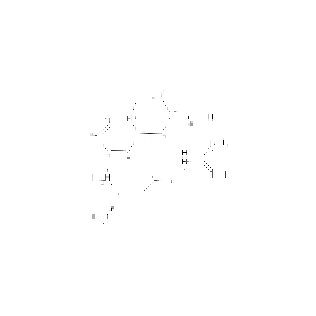 N=C(N)NCCC[C@H](N)C(=O)O.O=C(O)C1C=CN2C=CC=CC2=C1